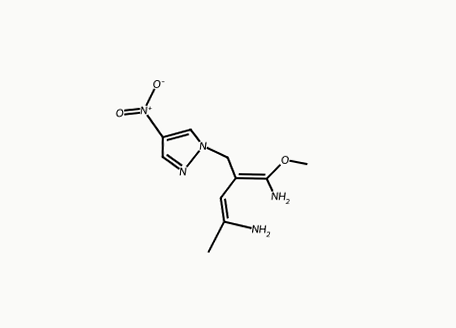 CO/C(N)=C(/C=C(/C)N)Cn1cc([N+](=O)[O-])cn1